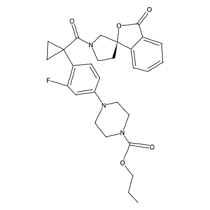 CCCOC(=O)N1CCN(c2ccc(C3(C(=O)N4CC[C@@]5(C4)OC(=O)c4ccccc45)CC3)c(F)c2)CC1